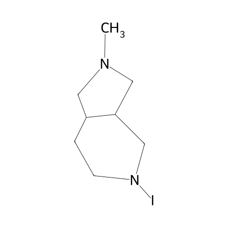 CN1CC2CCN(I)CC2C1